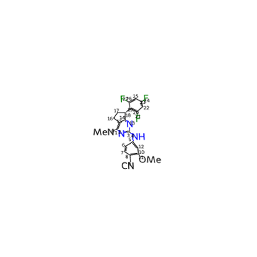 CNc1nc(Nc2ccc(C#N)c(OC)c2)nc2c1CC[C@H]2c1c(F)cc(F)cc1F